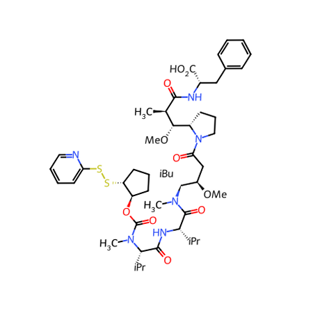 CC[C@H](C)[C@@H]([C@@H](CC(=O)N1CCC[C@H]1[C@H](OC)[C@@H](C)C(=O)N[C@@H](Cc1ccccc1)C(=O)O)OC)N(C)C(=O)[C@@H](NC(=O)[C@H](C(C)C)N(C)C(=O)O[C@@H]1CCC[C@H]1SSc1ccccn1)C(C)C